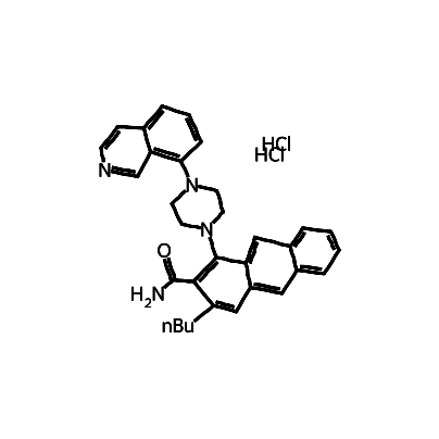 CCCCc1cc2cc3ccccc3cc2c(N2CCN(c3cccc4ccncc34)CC2)c1C(N)=O.Cl.Cl